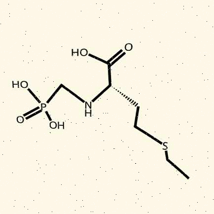 CCSCC[C@H](NCP(=O)(O)O)C(=O)O